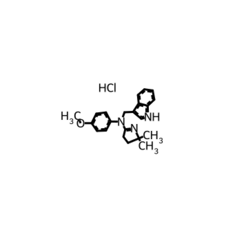 COc1ccc(N(Cc2c[nH]c3ccccc23)C2=NC(C)(C)CC2)cc1.Cl